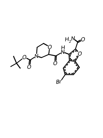 CC(C)(C)OC(=O)N1CCOC(C(=O)Nc2c(C(N)=O)oc3ccc(Br)cc23)C1